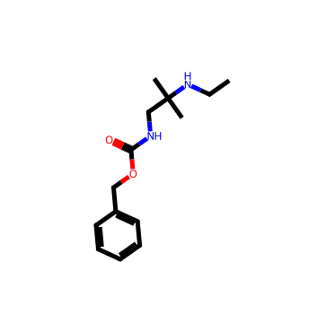 CCNC(C)(C)CNC(=O)OCc1ccccc1